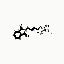 CC(C)(C)[Si](C)(C)OC/C=C/CN1C(=O)c2ccccc2C1=O